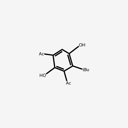 CC(=O)c1cc(O)c(C(C)(C)C)c(C(C)=O)c1O